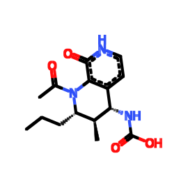 CCC[C@H]1[C@H](C)[C@@H](NC(=O)O)c2cc[nH]c(=O)c2N1C(C)=O